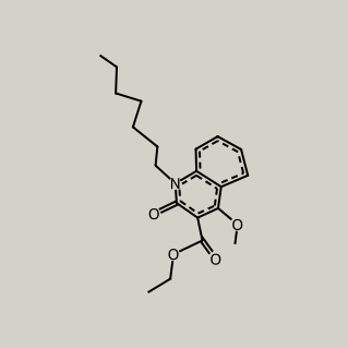 CCCCCCCn1c(=O)c(C(=O)OCC)c(OC)c2ccccc21